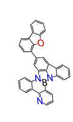 c1cnc2c(c1)B1N(c3ccccc3-2)c2cc(-c3cccc4c3oc3ccccc34)cc3c4ccccc4n1c23